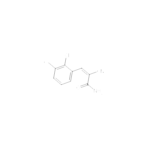 N#C/C(=C/c1cccc(Cl)c1Cl)C(N)=O